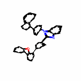 c1ccc2c(-c3ccc(-n4c(-c5ccc(-c6cccc7c6oc6ccccc67)cc5)nc5ccccc54)cc3)cccc2c1